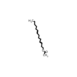 CCCCCC=CCCCC=CCCOC(C)=O